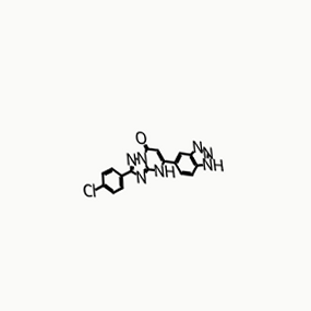 O=c1cc(-c2ccc3[nH]nnc3c2)[nH]c2nc(-c3ccc(Cl)cc3)nn12